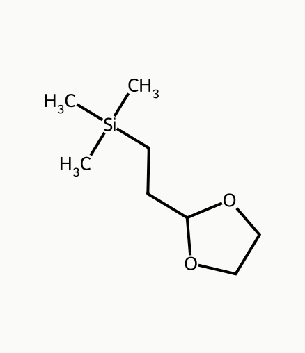 C[Si](C)(C)CCC1OCCO1